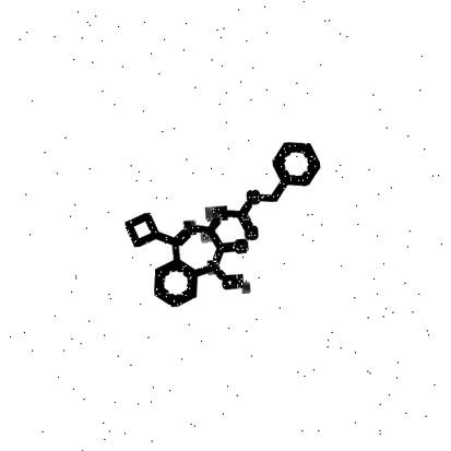 CN1C(=O)[C@H](NC(=O)OCc2ccccc2)N=C(C2CCC2)c2ccccc21